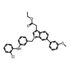 CCOC(=O)Cc1cn(Cc2cccc(Nc3ccccc3Cl)c2)c2cc(-c3cccc(OC)c3)ccc12